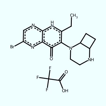 CCc1[nH]c2ncc(Br)nc2c(=O)c1N1CCNC2CCC21.O=C(O)C(F)(F)F